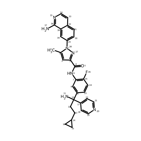 Cc1cc(C(=O)Nc2cc(C(N)(CCC3CC3)c3ccncc3)ccc2F)nn1-c1ccc2ccnc(N)c2c1